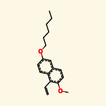 C=Cc1c(OC)ccc2cc(OCCCCCC)ccc12